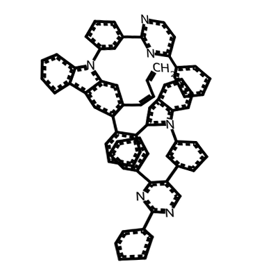 C=C/C=C\c1cc2c(cc1-c1ccccc1-c1cc3ccccc3n1-c1cccc(-c3cnc(-c4ccccc4)nc3-c3ccccc3)c1)c1ccccc1n2-c1cccc(-c2nccc(-c3ccccc3)n2)c1